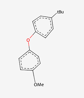 COc1ccc(Oc2ccc(C(C)(C)C)cc2)cc1